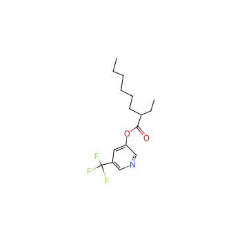 CCCCCCC(CC)C(=O)Oc1cncc(C(F)(F)F)c1